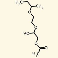 CCC(C)OCCOC(O)COC(C)=O